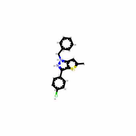 Cc1cc2c(s1)c(-c1ccc(Cl)cc1)nn2Cc1ccccc1